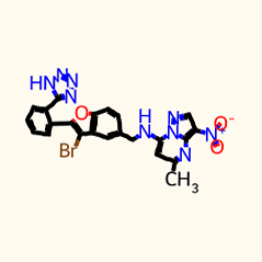 Cc1cc(NCc2ccc3oc(-c4ccccc4-c4nnn[nH]4)c(Br)c3c2)n2ncc([N+](=O)[O-])c2n1